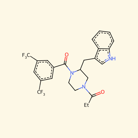 CCC(=O)N1CCN(C(=O)c2cc(C(F)(F)F)cc(C(F)(F)F)c2)C(Cc2c[nH]c3ccccc23)C1